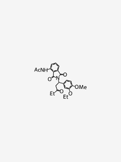 CCOc1cc(C(CC(=O)CC)N2C(=O)c3cccc(NC(C)=O)c3C2=O)ccc1OC